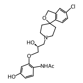 CC(=O)Nc1ccc(O)cc1OC[C@@H](O)CN1CCC2(CC1)OCc1cc(Cl)ccc12